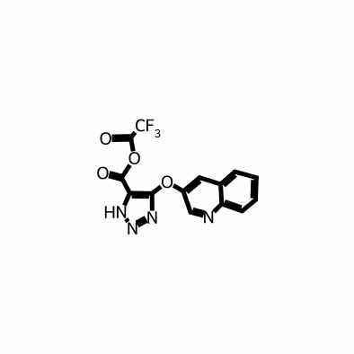 O=C(OC(=O)C(F)(F)F)c1[nH]nnc1Oc1cnc2ccccc2c1